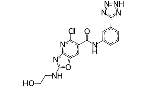 O=C(Nc1cccc(-c2nn[nH]n2)c1)c1cc2oc(NCCO)nc2nc1Cl